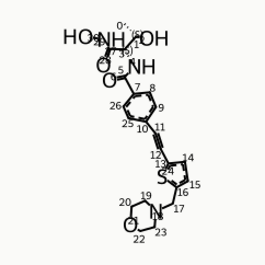 C[C@H](O)[C@H](NC(=O)c1ccc(C#Cc2ccc(CN3CCOCC3)s2)cc1)C(=O)NO